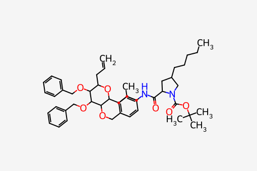 C=CCC1OC(CC(C)CNC(=O)C2CC(CCCCC)CN2C(=O)OC(C)(C)C)C(OCc2ccccc2)C(OCc2ccccc2)C1OCc1ccccc1